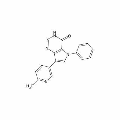 Cc1ccc(-c2cn(-c3ccccc3)c3c(=O)[nH]cnc23)cn1